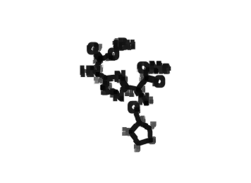 COC(=O)C(=NOC1CCCC1)c1nsc(NC(=O)OC(C)(C)C)n1